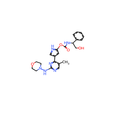 Cc1cnc(NN2CCOCC2)nc1-c1c[nH]c(OC(=O)NC(CO)c2ccccc2)c1